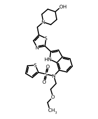 CCOCCN(c1cccc2cc(-c3ncc(CN4CCC(O)CC4)s3)[nH]c12)S(=O)(=O)c1cccs1